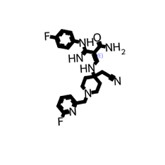 N#CCC1(N/C=C(\C(=N)Nc2ccc(F)cc2)C(N)=O)CCN(Cc2cccc(F)n2)CC1